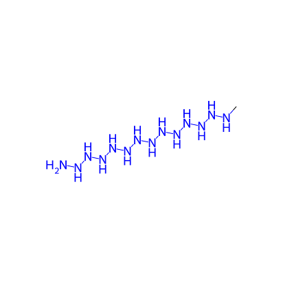 CNNNNNNNNNNNNNN